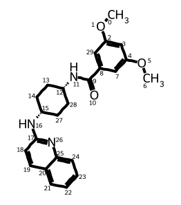 COc1cc(OC)cc(C(=O)N[C@H]2CC[C@@H](Nc3ccc4ccccc4n3)CC2)c1